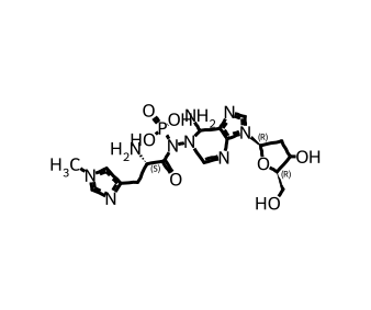 Cn1cnc(C[C@H](N)C(=O)N(N2C=Nc3c(ncn3[C@H]3CC(O)[C@@H](CO)O3)C2N)P(=O)(O)O)c1